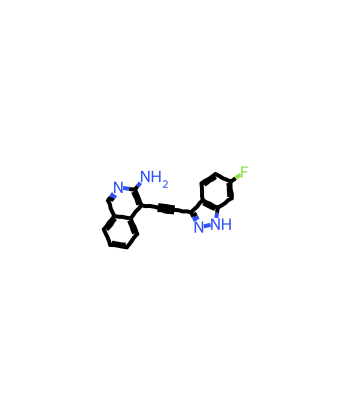 Nc1ncc2ccccc2c1C#Cc1n[nH]c2cc(F)ccc12